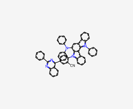 N#Cc1cc(-c2nc(-c3ccccc3)nc3ccccc23)ccc1-n1c2ccccc2c2c1c(N(c1ccccc1)c1ccccc1)cc1c3ccccc3n(-c3ccccc3)c12